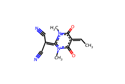 CC=c1c(=O)n(C)c(=C(C#N)C#N)n(C)c1=O